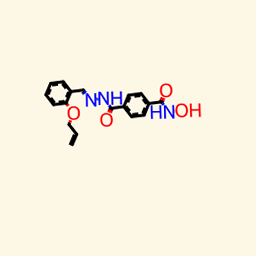 C=CCOc1ccccc1/C=N/NC(=O)c1ccc(C(=O)NO)cc1